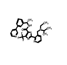 CCN(Cc1cccnc1-c1nc(C(F)(F)F)c(C(=O)N[C@@H](C)c2cccc(-c3cccnc3)c2)s1)C(C)C